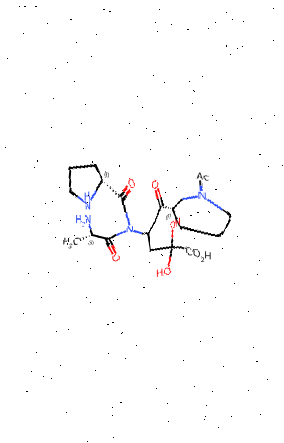 CC(=O)N1CCC[C@@H]1C(=O)C(CC(O)(O)C(=O)O)N(C(=O)[C@H](C)N)C(=O)[C@H]1CCCN1